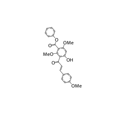 COc1ccc(C=CC(=O)c2c(O)cc(OC)c(C(=O)Oc3ccccc3)c2OC)cc1